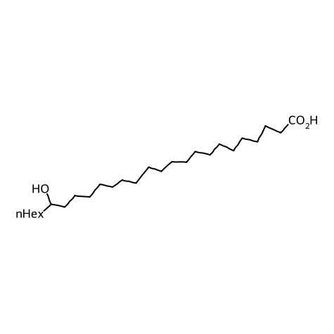 CCCCCCC(O)CCCCCCCCCCCCCCCCCCCC(=O)O